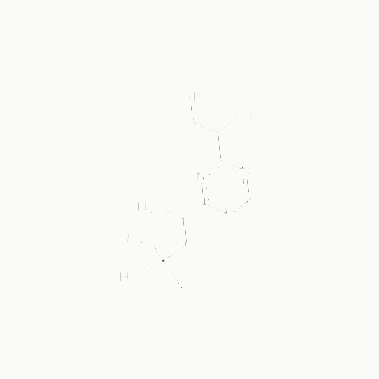 CC(CC(C)(C)C)c1ncnc(C(C)CC(C)(C)C(C)C)n1